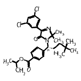 CC(C)OC(=O)c1ccc([C@@H](CCC(C)(C)C)N2C(=O)C(c3cc(Cl)cc(Cl)c3)=NC2(C)C)cc1